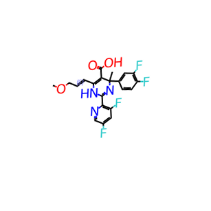 COC/C=C/C1=C(C(=O)O)C(C)(c2ccc(F)c(F)c2)N=C(c2ncc(F)cc2F)N1